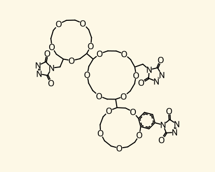 O=C1N=NC(=O)N1CC1COCCOC(C2COC(CN3C(=O)N=NC3=O)COCCOCCOCCO2)COCCOCC(C2COc3ccc(N4C(=O)N=NC4=O)cc3OCCOCCOCCO2)OCCO1